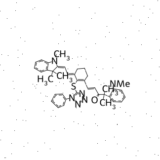 CNc1ccccc1C(C)(C)C(=O)/C=C/C1=C(Sc2nnnn2-c2ccccc2)C(=C/C=C2/N(C)c3ccccc3C2(C)C)/CCC1